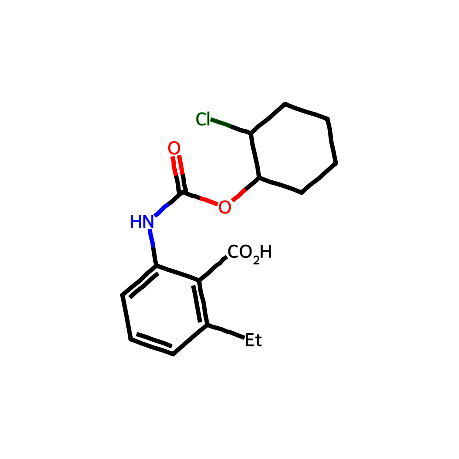 CCc1cccc(NC(=O)OC2CCCCC2Cl)c1C(=O)O